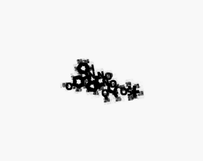 COc1ccc(C(Nc2ccn([C@@H]3O[C@H](CO[Si](C)(C)C(C)(C)C)C(C)C3OC)c(=O)n2)(c2ccccc2)c2ccccc2)cc1